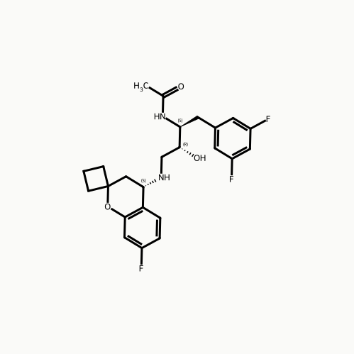 CC(=O)N[C@@H](Cc1cc(F)cc(F)c1)[C@H](O)CN[C@H]1CC2(CCC2)Oc2cc(F)ccc21